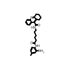 Cc1ccc(NC(=O)CCCCCNC(=O)c2c3c(nc4ccccc24)CCCC3)c(N)c1